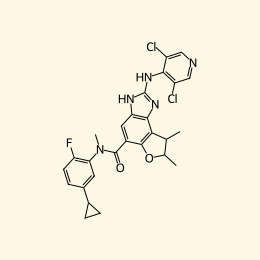 CC1Oc2c(C(=O)N(C)c3cc(C4CC4)ccc3F)cc3[nH]c(Nc4c(Cl)cncc4Cl)nc3c2C1C